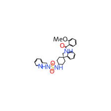 COc1ccccc1C(=O)NC[C@]1(c2ccccc2)CC[C@H](NS(=O)(=O)NCc2ccccn2)CC1